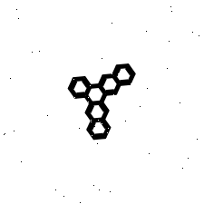 c1ccc2cc3c(cc2c1)c1ccccc1c1cc2ccccc2cc13